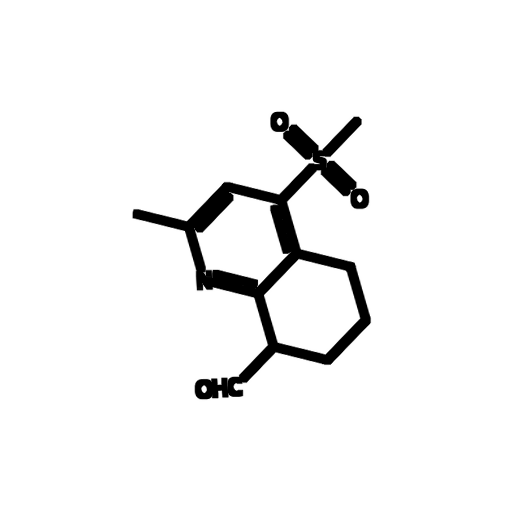 Cc1cc(S(C)(=O)=O)c2c(n1)C(C=O)CCC2